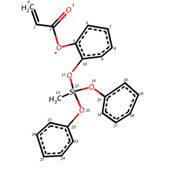 C=CC(=O)Oc1ccccc1O[Si](C)(Oc1ccccc1)Oc1ccccc1